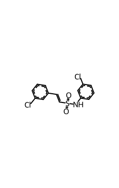 O=S(=O)(C=Cc1cccc(Cl)c1)Nc1cccc(Cl)c1